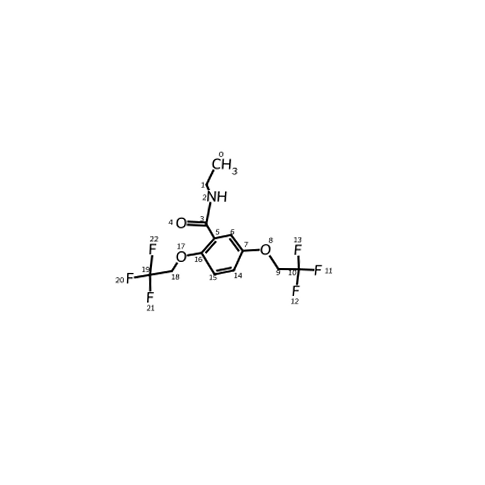 CCNC(=O)c1cc(OCC(F)(F)F)ccc1OCC(F)(F)F